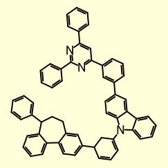 C1=CC(c2ccc3c(c2)CCC(c2ccccc2)c2ccccc2-3)CC(n2c3ccccc3c3cc(-c4cccc(-c5cc(-c6ccccc6)nc(-c6ccccc6)n5)c4)ccc32)=C1